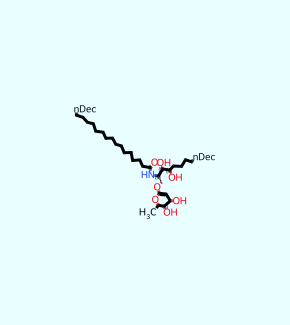 CCCCCCCCCCCCCCCCCCCCCCCCCC(=O)N[C@@H](COC1=CC(O)[C@H](O)C(C)O1)[C@H](O)[C@H](O)CCCCCCCCCCCCCC